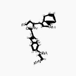 CC/C=C/C(Cc1c[nH]c2ccccc12)NC(=O)c1cc2ccc(NCCNC)cc2s1